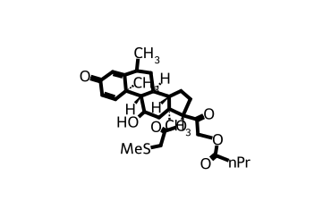 CCCC(=O)OCC(=O)[C@@]1(OC(=O)CSC)CC[C@H]2[C@@H]3CC(C)C4=CC(=O)C=C[C@]4(C)[C@H]3C(O)C[C@@]21C